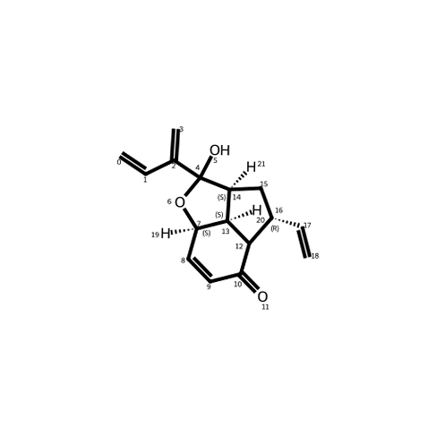 C=CC(=C)C1(O)O[C@@H]2C=CC(=O)C3[C@@H]2[C@@H]1C[C@@H]3C=C